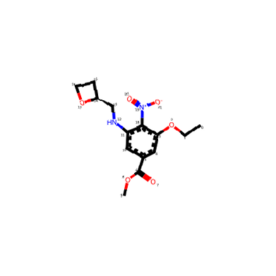 CCOc1cc(C(=O)OC)cc(NC[C@@H]2CCO2)c1[N+](=O)[O-]